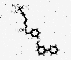 CN(CC=CC#CC(C)(C)C)Cc1cccc(OCc2cccc(-c3ccccn3)c2)c1